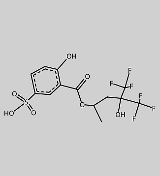 CC(CC(O)(C(F)(F)F)C(F)(F)F)OC(=O)c1cc(S(=O)(=O)O)ccc1O